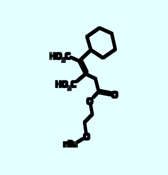 CCCCOCCOC(=O)CC(C(=O)O)=C(C(=O)O)C1CCCCC1